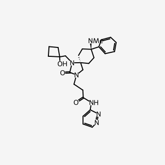 CN[C@]1(c2ccccc2)CC[C@]2(CC1)CN(CCC(=O)Nc1cccnn1)C(=O)N2CC1(O)CCC1